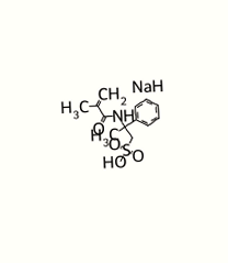 C=C(C)C(=O)NC(C)(CS(=O)(=O)O)c1ccccc1.[NaH]